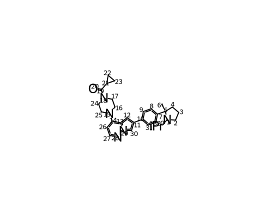 CC(C)N1CCC[C@@]1(C)c1ccc(-c2cc3c(N4CCN(C(=O)C5CC5)CC4)ccnn3c2)cc1